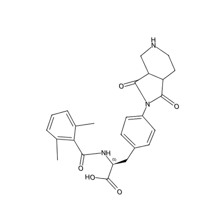 Cc1cccc(C)c1C(=O)N[C@@H](Cc1ccc(N2C(=O)C3CCNCC3C2=O)cc1)C(=O)O